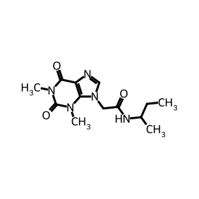 CCC(C)NC(=O)Cn1cnc2c(=O)n(C)c(=O)n(C)c21